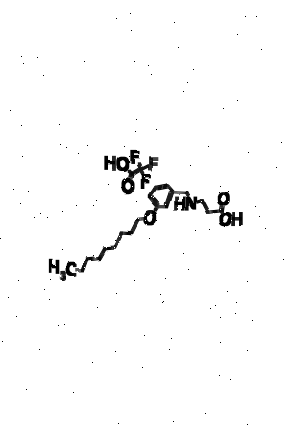 CCCCCCCCCOc1cccc(CNCCC(=O)O)c1.O=C(O)C(F)(F)F